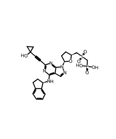 O=P(O)(O)CS(=O)(=O)C[C@@H]1CC[C@H](n2ncc3c(N[C@@H]4CCc5ccccc54)nc(C#CC4(O)CC4)nc32)O1